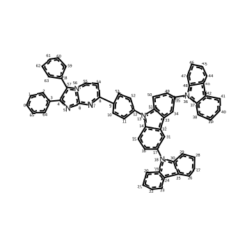 c1ccc(-c2nc3nc(-c4ccc(-n5c6ccc(-n7c8ccccc8c8ccccc87)cc6c6cc(-n7c8ccccc8c8ccccc87)ccc65)cc4)ccn3c2-c2ccccc2)cc1